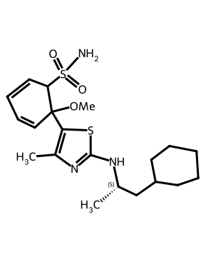 COC1(c2sc(N[C@@H](C)CC3CCCCC3)nc2C)C=CC=CC1S(N)(=O)=O